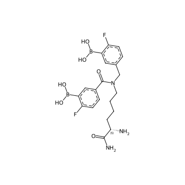 NC(=O)[C@@H](N)CCCCN(Cc1ccc(F)c(B(O)O)c1)C(=O)c1ccc(F)c(B(O)O)c1